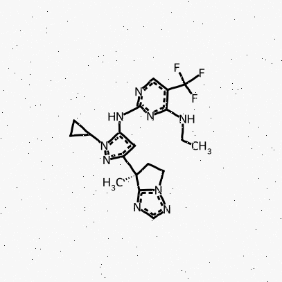 CCNc1nc(Nc2cc([C@@]3(C)CCn4ncnc43)nn2C2CC2)ncc1C(F)(F)F